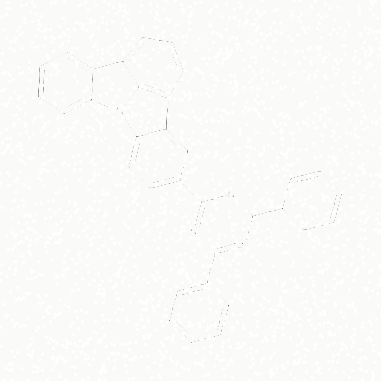 c1ccc(-c2nc(-c3ccccc3)nc(-c3ccc4c(c3)c3cccc5c6ccccc6n4c53)n2)cc1